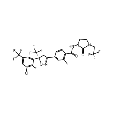 Cc1cc(C2=NO[C@](c3cc(C(F)(F)F)cc(Cl)c3F)(C(F)(F)F)C2)ccc1C(=O)NN1CCN(CC(F)(F)F)C1=O